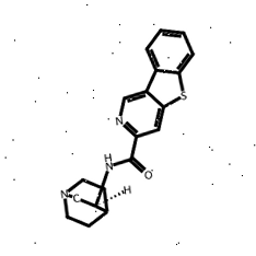 O=C(N[C@@H]1CN2CCC1CC2)c1cc2sc3ccccc3c2cn1